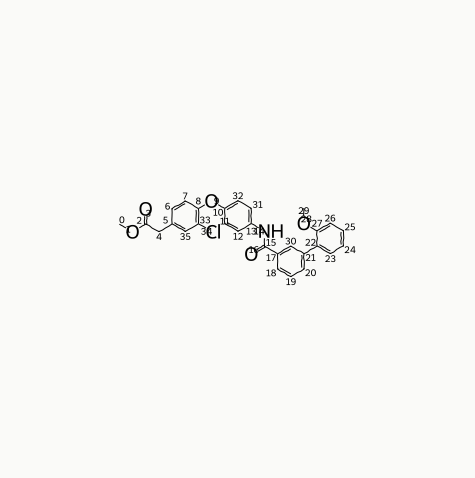 COC(=O)Cc1ccc(Oc2ccc(NC(=O)c3cccc(-c4ccccc4OC)c3)cc2)c(Cl)c1